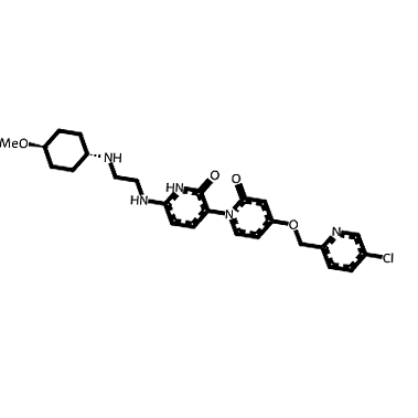 CO[C@H]1CC[C@H](NCCNc2ccc(-n3ccc(OCc4ccc(Cl)cn4)cc3=O)c(=O)[nH]2)CC1